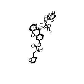 CC(C)(C(=O)Nc1nncs1)[C@H]1c2ccccc2Oc2cc(OC(=O)NCc3ccco3)ccc21